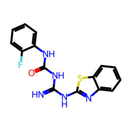 N=C(NC(=O)Nc1ccccc1F)Nc1nc2ccccc2s1